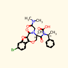 C[C@@H](c1ccccc1)N(C(=O)O)C(=O)[C@@]1(C)COc2c(oc3cc(Br)ccc23)C(=O)N1CC(=O)N(C)C